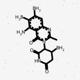 Bc1cc2nc(C)n(C3C(=O)NC(=O)CC3B)c(=O)c2c(N)c1B